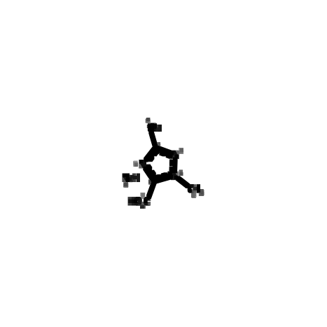 Cn1nc(C(C)(C)C)nc1C(=O)O.[NaH]